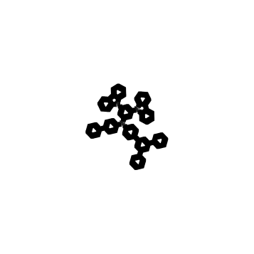 c1ccc(-c2ccc(N(c3ccc(-c4cc(-c5ccccc5)cc(-c5ccccc5)c4)cc3)c3cc(-n4c5ccccc5c5ccccc54)cc(-n4c5ccccc5c5ccccc54)c3)cc2)cc1